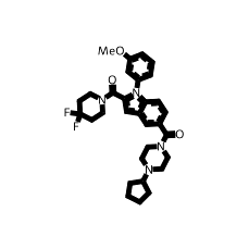 COc1cccc(-n2c(C(=O)N3CCC(F)(F)CC3)cc3cc(C(=O)N4CCN(C5CCCC5)CC4)ccc32)c1